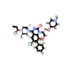 C=CC(=O)N1C[C@H](C)N(c2nc(=O)n3c4c(c(-c5ccc(F)cc5F)c(Cl)cc24)OC[C@H]3COC2CCN(C)CC2)C[C@H]1C